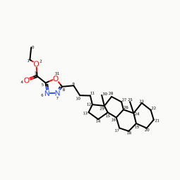 CCOC(=O)c1nnc(CCCC2CCC3C4CCC5CCCCC5(C)C4CCC23C)o1